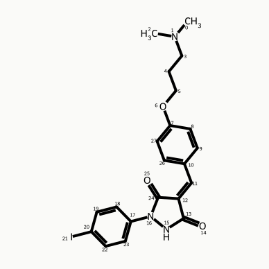 CN(C)CCCOc1ccc(C=C2C(=O)NN(c3ccc(I)cc3)C2=O)cc1